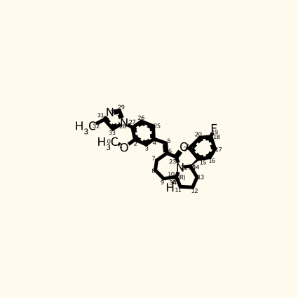 COc1cc(C=C2CCC[C@@H]3CCC[C@H](c4ccc(F)cc4)N3C2=O)ccc1-n1cnc(C)c1